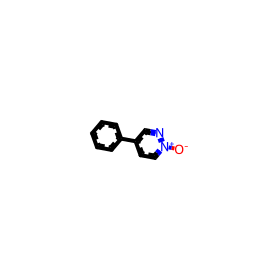 [O-][n+]1ccc(-c2ccccc2)cn1